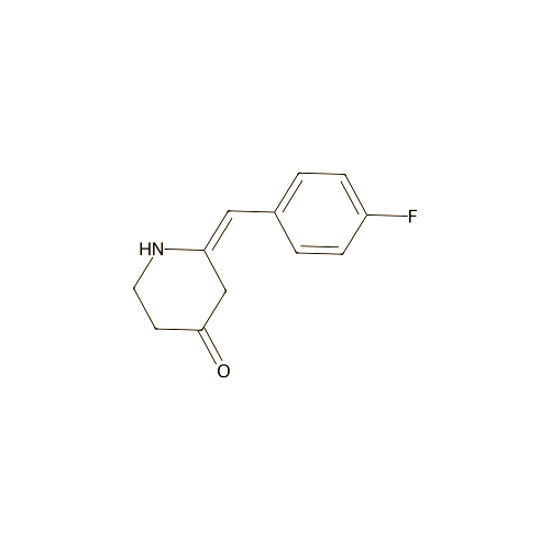 O=C1CCNC(=Cc2ccc(F)cc2)C1